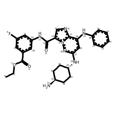 CCOC(=O)c1cc(F)cc(NC(=O)c2cnc3c(Nc4ccccc4)cc(N[C@H]4CC[C@H](N)CC4)nn23)c1